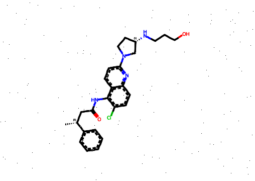 C[C@H](CC(=O)Nc1c(Cl)ccc2nc(N3CC[C@H](NCCCO)C3)ccc12)c1ccccc1